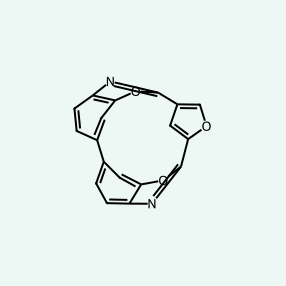 c1cc2nc3oc2cc1-c1ccc2nc(oc2c1)-c1cc-3co1